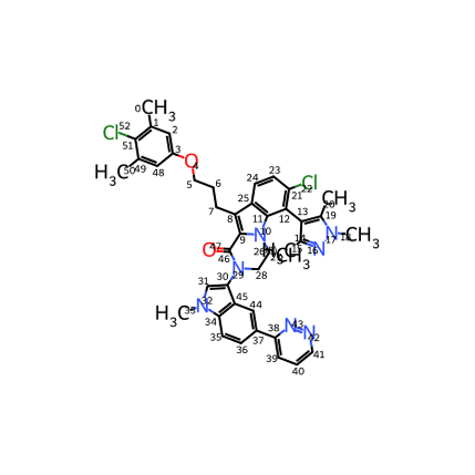 Cc1cc(OCCCc2c3n(c4c(-c5c(C)nn(C)c5C)c(Cl)ccc24)[C@H](C)CN(c2cn(C)c4ccc(-c5cccnn5)cc24)C3=O)cc(C)c1Cl